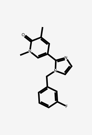 Cc1cc(-c2nccn2Cc2cccc(F)c2)cn(C)c1=O